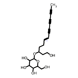 CC#CC#CC#C/C=C/CCC(CCO)OC1OC(CO)C(O)C(O)C1O